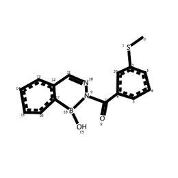 CSc1cccc(C(=O)N2N=Cc3ccccc3B2O)c1